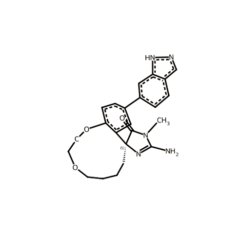 CN1C(=O)[C@@]2(CCCCOCCOc3ccc(-c4ccc5cn[nH]c5c4)cc32)N=C1N